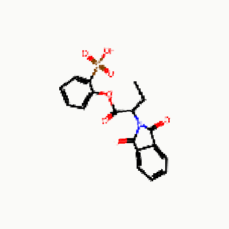 CCC(C(=O)Oc1ccccc1S(=O)(=O)O)N1C(=O)c2ccccc2C1=O